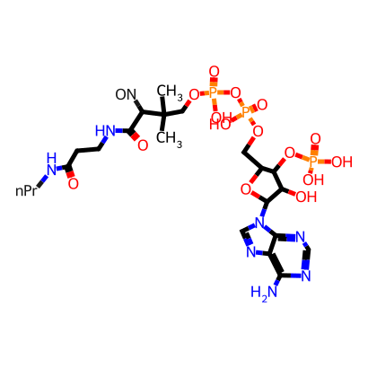 CCCNC(=O)CCNC(=O)C(N=O)C(C)(C)COP(=O)(O)OP(=O)(O)OCC1OC(n2cnc3c(N)ncnc32)C(O)C1OP(=O)(O)O